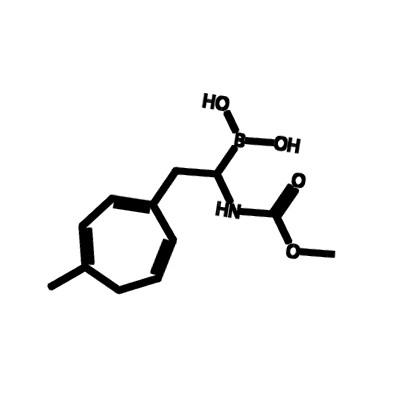 COC(=O)NC(CC1=CC=C(C)CC=C1)B(O)O